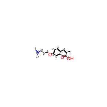 CC(=Cc1ccc(OCCCN(C)C)cc1)C(=O)O